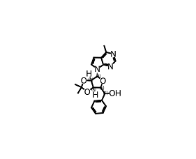 Cc1ncnc2c1ccn2[C@@H]1O[C@@H]([C@@H](O)c2ccccc2)[C@H]2OC(C)(C)O[C@H]21